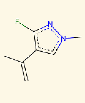 C=C(C)c1cn(C)nc1F